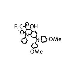 COc1ccc(N(c2ccc(OC)cc2)c2ccc3c(O)c(C(=O)C(F)(F)F)c(=O)n(-c4ccccc4)c3c2)cc1